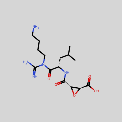 CC(C)C[C@H](NC(=O)[C@H]1O[C@@H]1C(=O)O)C(=O)N(CCCCN)C(=N)N